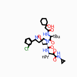 CCC[C@H](NC(=O)[C@@H]1C[C@]2(CC(c3cccc(Cl)c3)=NO2)CN1C(=O)C(NC(=O)CC1(O)CCCCC1)C(C)(C)C)C(=O)C(=O)NC1CC1